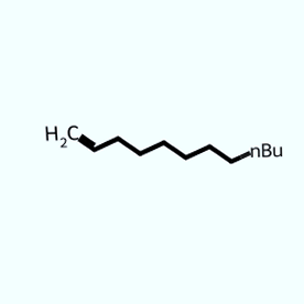 [CH2]CCCCCCCCCC=C